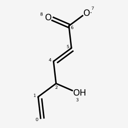 C=CC(O)C=CC([O])=O